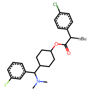 CCCCC(C(=O)OC1CCC(C(c2cccc(F)c2)N(C)C)CC1)c1ccc(Cl)cc1